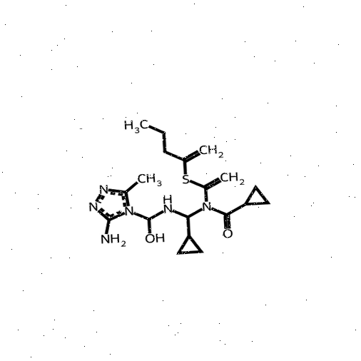 C=C(CCC)SC(=C)N(C(=O)C1CC1)C(NC(O)n1c(C)nnc1N)C1CC1